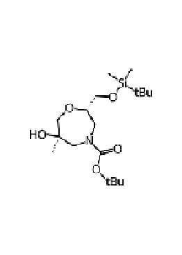 CC(C)(C)OC(=O)N1C[C@@H](CO[Si](C)(C)C(C)(C)C)OC[C@](C)(O)C1